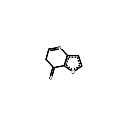 O=C1CC=Nc2ccoc21